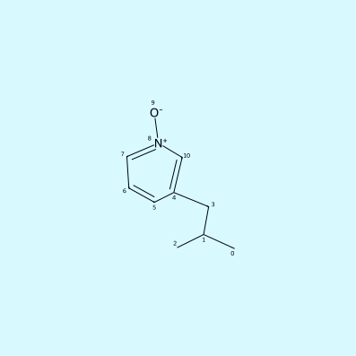 CC(C)Cc1ccc[n+]([O-])c1